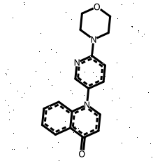 O=c1ccn(-c2ccc(N3CCOCC3)nc2)c2ccccc12